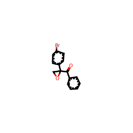 O=C(c1ccccc1)C1(c2ccc(Br)cc2)CO1